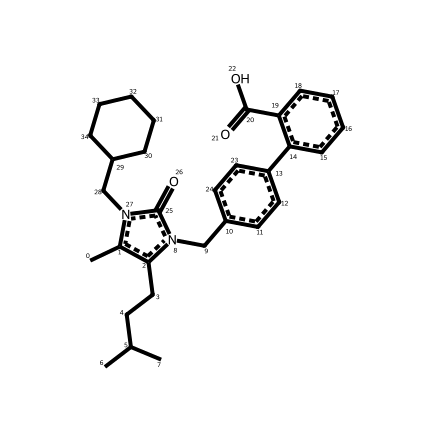 Cc1c(CCC(C)C)n(Cc2ccc(-c3ccccc3C(=O)O)cc2)c(=O)n1CC1CCCCC1